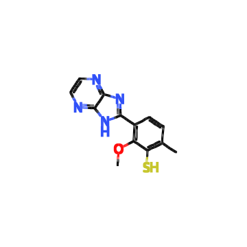 COc1c(-c2nc3nccnc3[nH]2)ccc(C)c1S